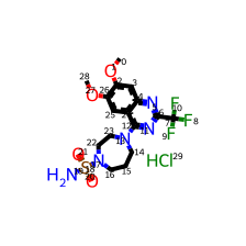 COc1cc2nc(C(F)(F)F)nc(N3CCCN(S(N)(=O)=O)CC3)c2cc1OC.Cl